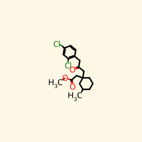 COC(=O)CC1(CC(=O)Cc2ccc(Cl)cc2Cl)CCCC(C)C1